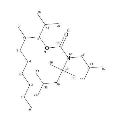 CCCCCCC(C)C(OC(=O)N(CC(C)C)C(C)(C)CC(C)C)C(C)C